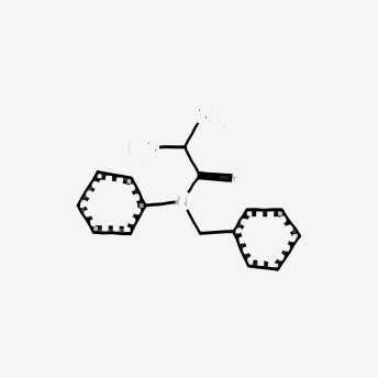 NC(N)C(=O)N(Cc1ccccc1)c1ccccc1